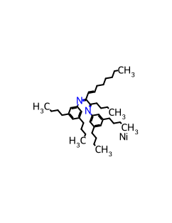 CCCCCCC=CC(=Nc1cc(CCCC)cc(CCCC)c1)C(CCCC)=Nc1cc(CCCC)cc(CCCC)c1.[Ni]